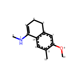 CNC1=CCCc2cc(OC)c(C)cc21